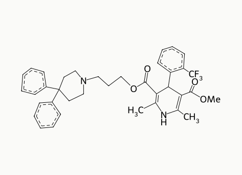 COC(=O)C1=C(C)NC(C)=C(C(=O)OCCCN2CCC(c3ccccc3)(c3ccccc3)CC2)C1c1ccccc1C(F)(F)F